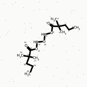 CCCC(C)(C)C(=O)OBOBOC(=O)C(C)(C)CCC